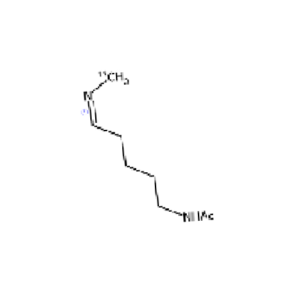 C[13C](=O)NCCCC/C=N\[13CH3]